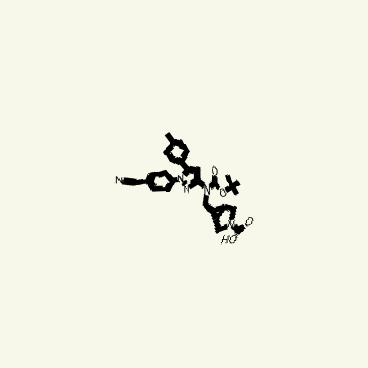 Cc1ccc(-c2cc(N(CC3C4CN(C(=O)O)CC43)C(=O)OC(C)(C)C)nn2-c2ccc(C#N)cc2)cc1